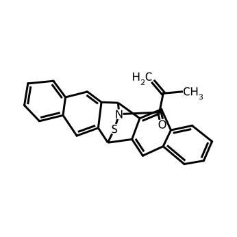 C=C(C)C(=O)N1SC2c3cc4ccccc4cc3C1c1cc3ccccc3cc12